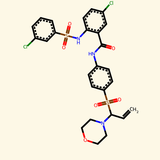 C=CC(N1CCOCC1)S(=O)(=O)c1ccc(NC(=O)c2cc(Cl)ccc2NS(=O)(=O)c2cccc(Cl)c2)cc1